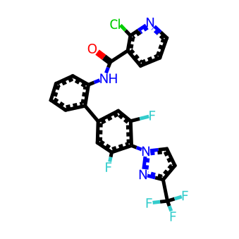 O=C(Nc1ccccc1-c1cc(F)c(-n2ccc(C(F)(F)F)n2)c(F)c1)c1cccnc1Cl